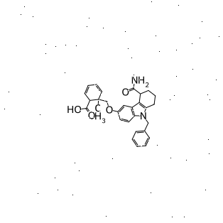 CC1(COc2ccc3c(c2)c2c(n3Cc3ccccc3)CCCC2C(N)=O)C=CC=CC1C(=O)O